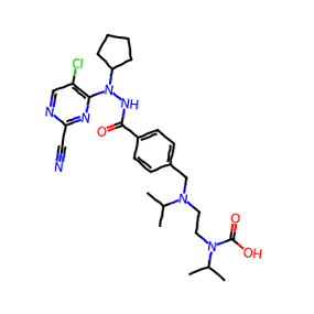 CC(C)N(CCN(C(=O)O)C(C)C)Cc1ccc(C(=O)NN(c2nc(C#N)ncc2Cl)C2CCCC2)cc1